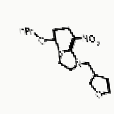 CCCOC1CCC([N+](=O)[O-])=C2N(CC3CCOC3)CCN21